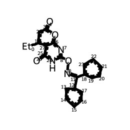 CCc1cc(=O)oc2nc(ON=C(c3ccccc3)c3ccccc3)[nH]c(=O)c12